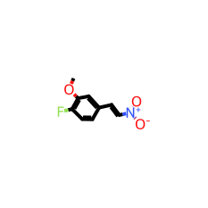 COc1cc(C=C[N+](=O)[O-])ccc1F